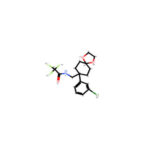 O=C(NCC1(c2cccc(Cl)c2)CCC2(CC1)OCCO2)C(F)(F)F